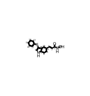 O=C(/C=C/c1ccc2[nH]cc(Sc3ccccc3)c2c1)NO